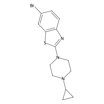 Brc1ccc2nc(N3CCN(C4CC4)CC3)sc2c1